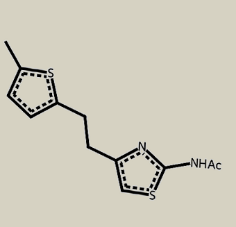 CC(=O)Nc1nc(CCc2ccc(C)s2)cs1